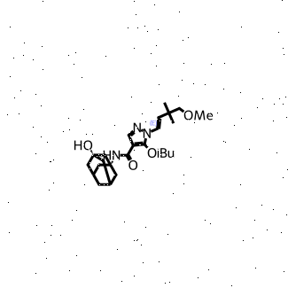 COCC(C)(C)/C=C/n1ncc(C(=O)N[C@]23CC4CC(C[C@@](O)(C4)C2)C3)c1OCC(C)C